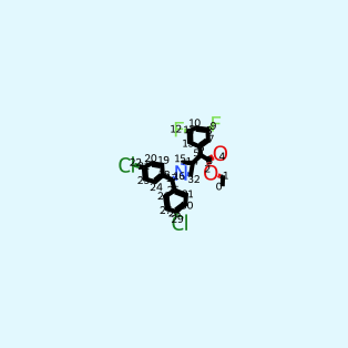 CCOC(=O)C(c1cc(F)cc(F)c1)C1CN(C(c2ccc(Cl)cc2)c2ccc(Cl)cc2)C1